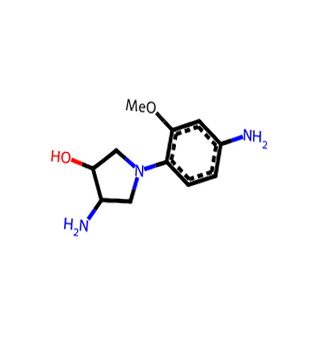 COc1cc(N)ccc1N1CC(N)C(O)C1